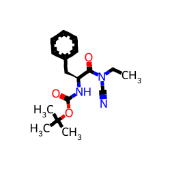 CCN(C#N)C(=O)[C@H](Cc1ccccc1)NC(=O)OC(C)(C)C